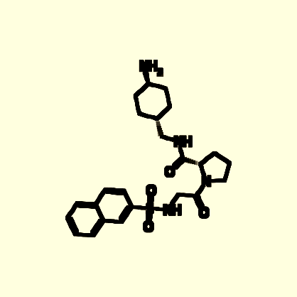 N[C@H]1CC[C@H](CNC(=O)[C@@H]2CCCN2C(=O)CNS(=O)(=O)c2ccc3ccccc3c2)CC1